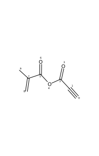 C#CC(=O)OC(=O)C(=C)C